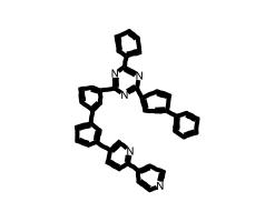 c1ccc(-c2ccc(-c3nc(-c4ccccc4)nc(-c4cccc(-c5cccc(-c6ccc(-c7ccncc7)nc6)c5)c4)n3)cc2)cc1